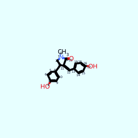 CN1CC(c2ccc(O)cc2)/C(=C/c2ccc(O)cc2)C1=O